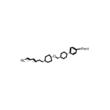 CCCCCc1ccc([C@H]2CC[C@H](CO[C@H]3CC[C@H](CC/C=C/C=C/C#N)CC3)CC2)cc1